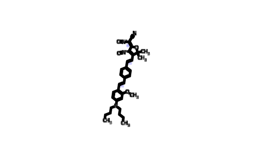 [C-]#[N+]C1=C(/C=C/c2ccc(/C=C/c3ccc(N(CCCC)CCCC)cc3OC)cc2)C(C)(C)O/C1=C(\C#N)[N+]#[C-]